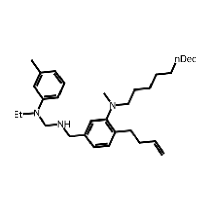 C=CCCc1ccc(CNCN(CC)c2cccc(C)c2)cc1N(C)CCCCCCCCCCCCCCC